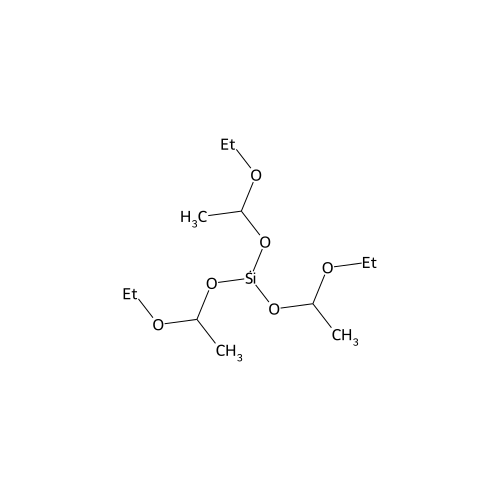 CCOC(C)O[Si](OC(C)OCC)OC(C)OCC